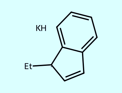 CC[C]1C=Cc2ccccc21.[KH]